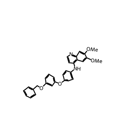 COc1cc2nccc(Nc3ccc(Oc4cccc(OCc5ccccc5)c4)cc3)c2cc1OC